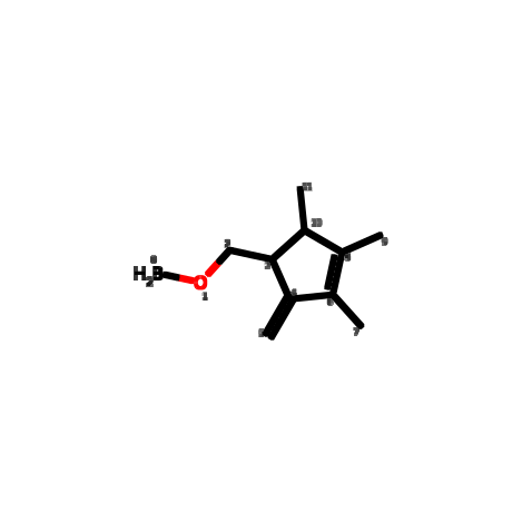 BOCC1C(=C)C(C)=C(C)C1C